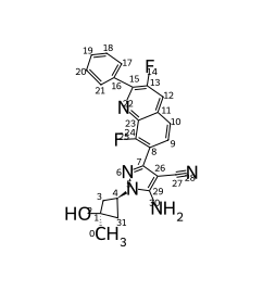 C[C@]1(O)C[C@@H](n2nc(-c3ccc4cc(F)c(-c5ccccc5)nc4c3F)c(C#N)c2N)C1